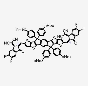 CCCCCCc1ccc(C2(c3ccc(CCCCCC)cc3)c3cc4c(cc3-c3sc5cc(/C=C6\C(=O)c7cc(F)c(F)cc7C6=C(C#N)C#N)sc5c32)C(c2ccc(CCCCCC)cc2)(c2ccc(CCCCCC)cc2)c2c-4sc3cc(/C=C4/C(=O)c5cc(F)c(F)cc5C4=C(C#N)C#N)sc23)cc1